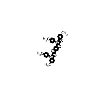 Cc1ccc(-n2c3cc(C)ccc3c3sc4c5cc6oc7c8sc9cc(C)ccc9c8n(-c8ccc(C)cc8)c7c6cc5oc4c32)cc1